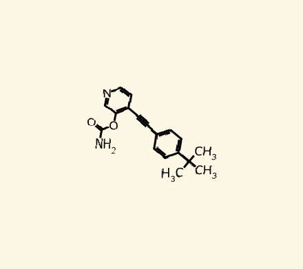 CC(C)(C)c1ccc(C#Cc2ccncc2OC(N)=O)cc1